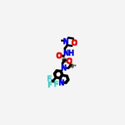 C[C@@H]1CN(c2ccc(C(F)(F)F)c3ncccc23)C[C@H](C(=O)NCC2COCCN2C)O1